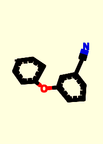 N#Cc1cccc(Oc2cc[c]cc2)c1